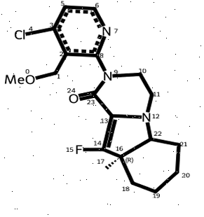 COCc1c(Cl)ccnc1N1CCN2C(=C(F)[C@]3(C)CCCCC23)C1=O